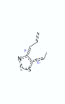 C=C/C=c1/ncs/c1=C/C